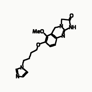 COc1c(OCCCCn2ccnc2)ccc2c1CN1CC(=O)NC1=N2